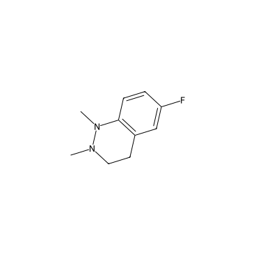 CN1CCc2cc(F)ccc2N1C